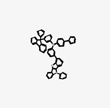 c1ccc(-c2ccc(N(c3cccc(-c4cccc5c4oc4c6ccccc6n(-c6ccccc6)c54)c3)c3cccc(C4(c5ccccc5)c5ccccc5-c5ccccc54)c3)cc2)cc1